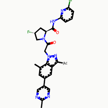 CC(=O)c1nn(CC(=O)N2C[C@H](F)C[C@H]2C(=O)Nc2cccc(Br)n2)c2c(C)cc(-c3cnc(C)nc3)cc12